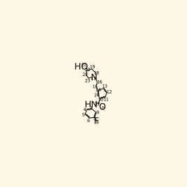 O=C(Nc1cccc(F)c1)c1cccc(CCN2CCC(O)CC2)c1